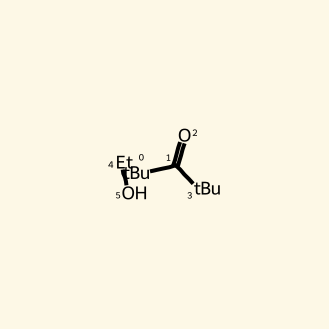 CC(C)(C)C(=O)C(C)(C)C.CCO